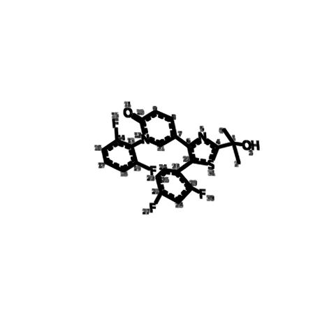 CC(C)(O)c1nc(-c2ccc(=O)n(-c3c(F)cccc3F)c2)c(-c2ccc(F)cc2F)s1